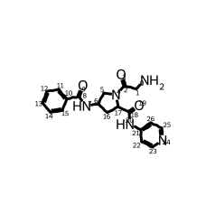 NCC(=O)N1CC(NC(=O)c2ccccc2)CC1C(=O)Nc1ccncc1